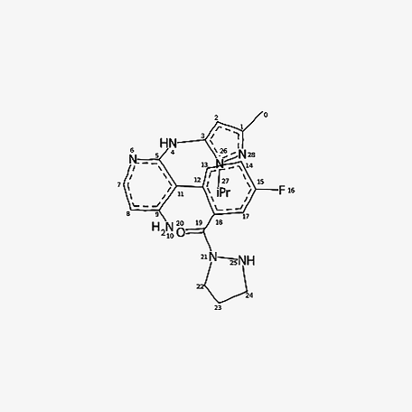 Cc1cc(Nc2nccc(N)c2-c2ccc(F)cc2C(=O)N2CCCN2)n(C(C)C)n1